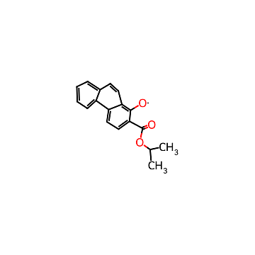 CC(C)OC(=O)c1ccc2c(ccc3ccccc32)c1[O]